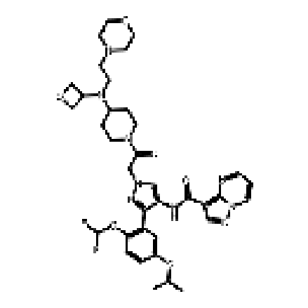 CC(C)Sc1ccc(OC(F)F)c(-c2nn(CC(=O)N3CCC(N(CCN4CCOCC4)C4COC4)CC3)cc2NC(=O)c2cnn3cccnc23)c1